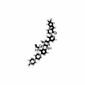 C=CC(=O)Nc1cc(Nc2nc(-c3ccnc(N4CCn5c(cc6c5CC(C)(C)C6)C4=O)c3C)cn(C)c2=O)ccc1N1CCC(N2CCN(C)CC2)CC1